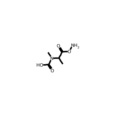 CC(C(=O)ON)N(C)C(=O)O